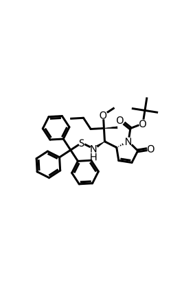 CCC[C@](C)(OC)[C@H](NSC(c1ccccc1)(c1ccccc1)c1ccccc1)[C@H]1C=CC(=O)N1C(=O)OC(C)(C)C